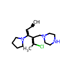 C#C/C=C(\C(CN1CCNCC1)=C(/C)Cl)N1CCCC1